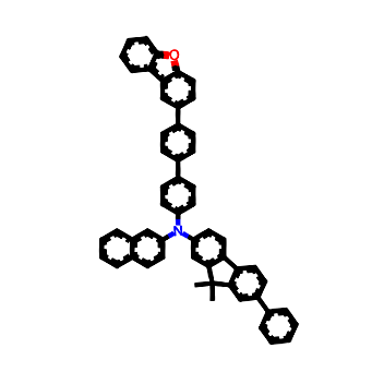 CC1(C)c2cc(-c3ccccc3)ccc2-c2ccc(N(c3ccc(-c4ccc(-c5ccc6oc7ccccc7c6c5)cc4)cc3)c3ccc4ccccc4c3)cc21